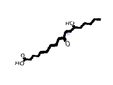 CCCCCC(O)/C=C/C(=O)CCCCCCCCC(=O)O